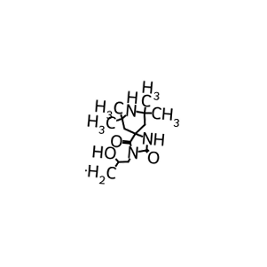 [CH2]C(O)CN1C(=O)NC2(CC(C)(C)NC(C)(C)C2)C1=O